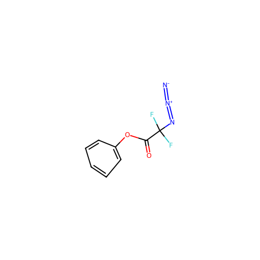 [N-]=[N+]=NC(F)(F)C(=O)Oc1ccccc1